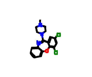 CN1CCN(C2=Nc3ccccc3Oc3c(Cl)cc(Cl)cc32)CC1